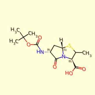 CC1S[C@H]2C[C@@H](NC(=O)OC(C)(C)C)C(=O)N2[C@@H]1C(=O)O